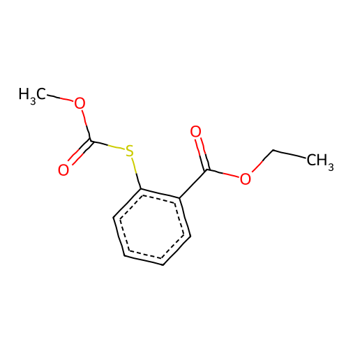 CCOC(=O)c1ccccc1SC(=O)OC